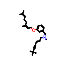 CC(C)=CCCC(C)=CCOc1cccc(CN(C)CC=CC#CC(C)(C)C)c1